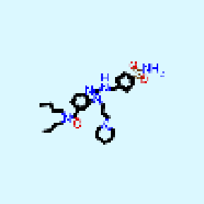 CCCCN(CCCC)C(=O)c1ccc2nc(NCc3ccc(S(N)(=O)=O)cc3)n(CCCN3CCCCC3)c2c1